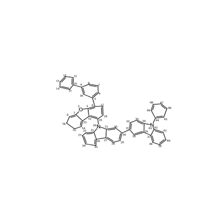 C1=c2oc3c(-c4cccc(-c5ccccc5)c4)ccc(-n4c5ccccc5c5ccc(-c6ccc7c(c6)c6ccccc6n7-c6ccccc6)cc54)c3c2=CCC1